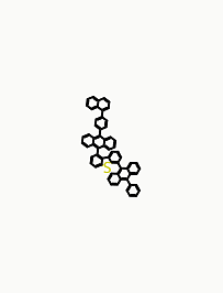 c1ccc(-c2c3ccccc3c(-c3cccc4c3sc3cccc(-c5c6ccccc6c(-c6ccc(-c7cccc8ccccc78)cc6)c6ccccc56)c34)c3ccccc23)cc1